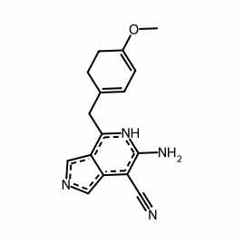 COC1=CC=C(Cc2[nH]c(N)c(C#N)c3cncc2-3)CC1